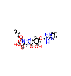 C=CCCOC(=O)N[C@@H](CNC(=O)c1ccc(OCCNC2=NCCCN2)cc1O)C(=O)O